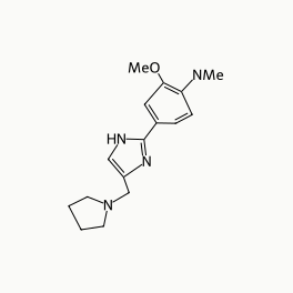 CNc1ccc(-c2nc(CN3CCCC3)c[nH]2)cc1OC